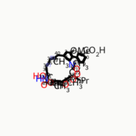 COc1cc2cc(c1-c1cccc(C(=O)O)c1)N(C)C(=O)C[C@H](OC(=O)C(C)C)[C@]1(C)O[C@H]1[C@H](C)[C@@H]1C[C@](O)(C/C=C/C=C(\C)C2)NC(=O)O1